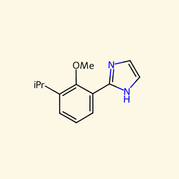 COc1c(-c2ncc[nH]2)cccc1C(C)C